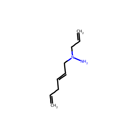 C=CCC=CCN(N)CC=C